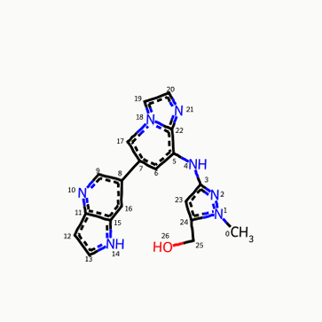 Cn1nc(Nc2cc(-c3cnc4cc[nH]c4c3)cn3ccnc23)cc1CO